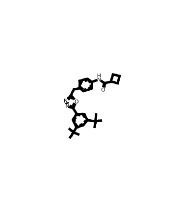 CC(C)(C)c1cc(-c2nnc(Cc3ccc(NC(=O)C4CCC4)cc3)o2)cc(C(C)(C)C)c1